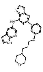 c1cc(OCCCN2CCOCC2)cc(-c2nc(Nc3cnc4[nH]ncc4c3)c3sccc3n2)c1